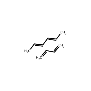 C=CC=C.CC=CC=CC